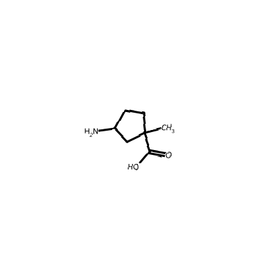 CC1(C(=O)O)CCC(N)C1